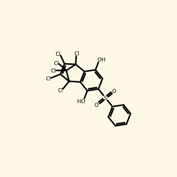 O=S(=O)(c1ccccc1)c1cc(O)c2c(c1O)C1(Cl)C(Cl)=C(Cl)C2(Cl)C1(Cl)Cl